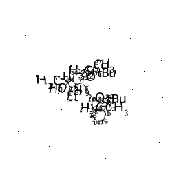 C=CC1(O)C(CC)[C@H]2[C@H](C#C[C@H](CC3CCCCC3)O[Si](C)(C)C(C)(C)C)[C@@H](O[Si](C)(C)C(C)(C)C)CC[C@H]21